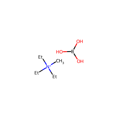 CC[N+](C)(CC)CC.OB(O)O